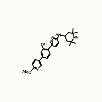 COc1ccc(-c2ccc(-c3ccc(NC4CC(C)(C)NC(C)(C)C4)nn3)c(O)c2)cn1